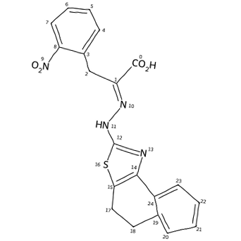 O=C(O)/C(Cc1ccccc1[N+](=O)[O-])=N/Nc1nc2c(s1)CCc1ccccc1-2